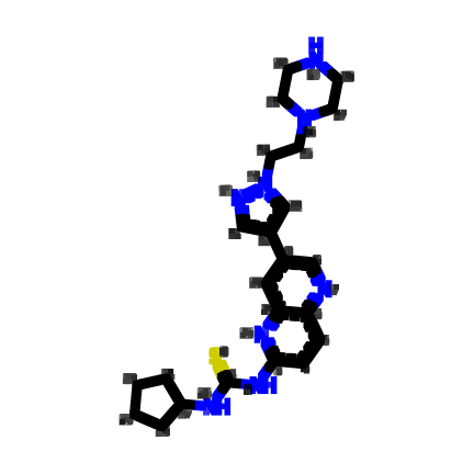 S=C(Nc1ccc2ncc(-c3cnn(CCN4CCNCC4)c3)cc2n1)NC1CCCC1